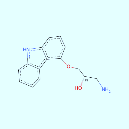 NC[C@H](O)COc1cccc2[nH]c3ccccc3c12